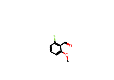 COc1cccc(F)c1[C]=O